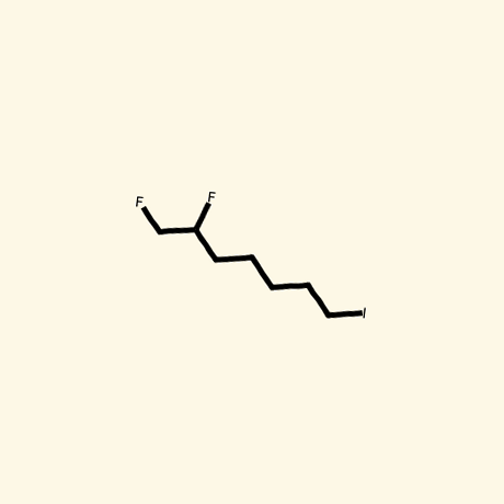 FCC(F)CCCCCI